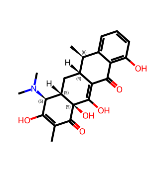 CC1=C(O)[C@@H](N(C)C)[C@@H]2C[C@H]3C(=C(O)[C@]2(O)C1=O)C(=O)c1c(O)cccc1[C@@H]3C